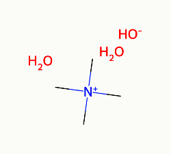 C[N+](C)(C)C.O.O.[OH-]